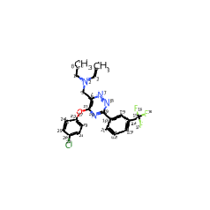 CCN(CC)Cc1nnc(-c2cccc(C(F)(F)F)c2)nc1Oc1ccc(Cl)cc1